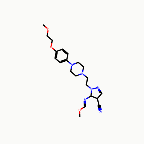 CO/C=N/C1C(C#N)C=NN1CCN1CCN(c2ccc(OCCOC)cc2)CC1